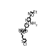 CCc1cnc(-c2cnc(N3CCC(C(=O)NS(=O)(=O)CC=Cc4ccc(Cl)s4)CC3)c(N)c2)o1